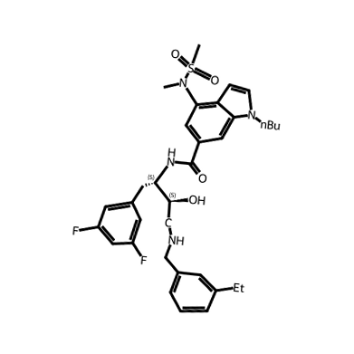 CCCCn1ccc2c(N(C)S(C)(=O)=O)cc(C(=O)N[C@@H](Cc3cc(F)cc(F)c3)[C@@H](O)CNCc3cccc(CC)c3)cc21